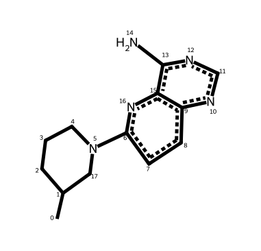 CC1CCCN(c2ccc3ncnc(N)c3n2)C1